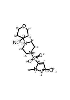 Cn1nc(C(F)(F)F)cc1S(=O)(=O)N1CCN(C2(C#N)CCOCC2)CC1